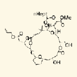 C=CCOC(=O)C[C@H]1CC2CC3CCCC(C[C@@H](O)CC(=O)O[C@@H](CO)C[C@@H]4C/C(=C\C(=O)OC)[C@H](OC(=O)CCCCCCC)[C@@](O)(O4)C(C)(C)/C=C/[C@H](O2)O1)O3